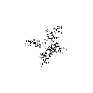 C=C(C)[C@@H]1CC[C@]2(CO[C@@H]3[C@@H](O)[C@@H](O)[C@@H](CO)O[C@H]3O)CC[C@]3(C)[C@H](CC[C@@H]4[C@@]5(C)CCC(OC(C)=O)C(C)(C)[C@@H]5CC[C@]43C)[C@@H]12.CC(=O)O.CC(=O)O.CC(=O)O.CC(=O)O